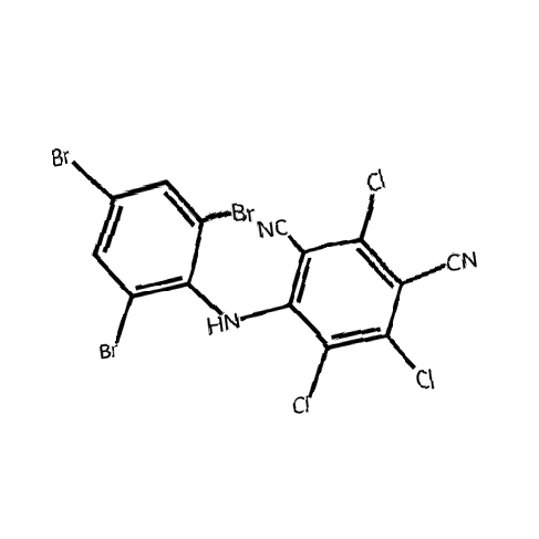 N#Cc1c(Cl)c(Cl)c(Nc2c(Br)cc(Br)cc2Br)c(C#N)c1Cl